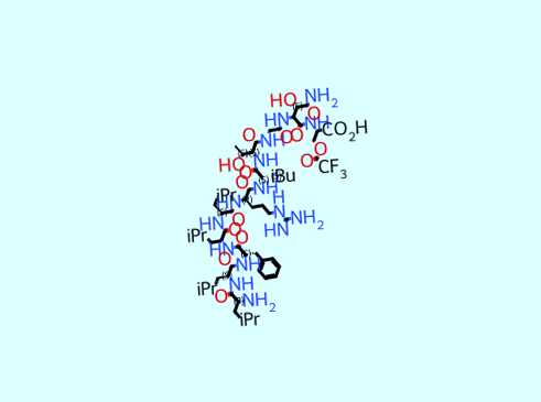 CC[C@H](C)[C@H](NC(=O)[C@@H](CCCNC(=N)N)NC(=O)[C@H](CC(C)C)NC(=O)C(CC(C)C)NC(=O)[C@H](Cc1ccccc1)NC(=O)[C@H](CC(C)C)NC(=O)[C@H](N)CC(C)C)C(=O)N[C@H](C(=O)NCC(=O)NC(C(=O)NC(COC(=O)C(F)(F)F)C(=O)O)[C@H](O)C(N)=O)[C@H](C)O